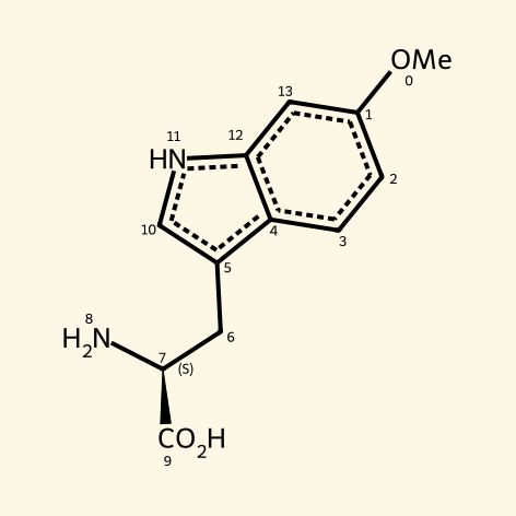 COc1ccc2c(C[C@H](N)C(=O)O)c[nH]c2c1